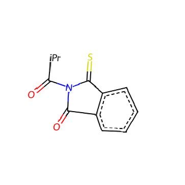 CC(C)C(=O)N1C(=O)c2ccccc2C1=S